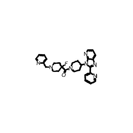 O=C(N1CCC(n2c(-c3ccccn3)nc3cccnc32)CC1)C1(F)CCN(Cc2ccccn2)CC1